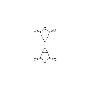 O=C1OC(=O)C2C1C2C1C2C(=O)OC(=O)C21